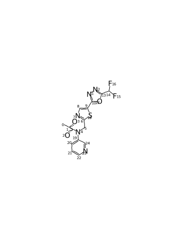 CS(=O)(=O)N(Cc1ncc(-c2nnc(C(F)F)o2)s1)c1cccnc1